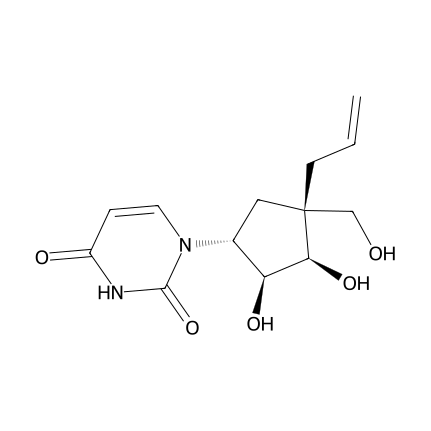 C=CC[C@]1(CO)C[C@@H](n2ccc(=O)[nH]c2=O)[C@H](O)[C@@H]1O